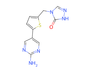 Nc1ncc(-c2ccc(Cn3cn[nH]c3=O)s2)cn1